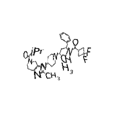 Cc1nc2c(n1C1CCN(C(C)C[C@H](NC(=O)C3CC(F)(F)C3)c3ccccc3)CC1)CN(C(=O)C(C)C)CC2